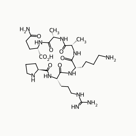 C[C@H](NC(=O)[C@H](C)NC(=O)[C@H](CCCCN)NC(=O)[C@H](CCCNC(=N)N)NC(=O)[C@@H]1CCCN1)C(=O)N[C@@H](CCC(N)=O)C(=O)O